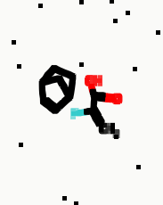 C1=CC2CCC1C2.C=C(F)C(=O)O